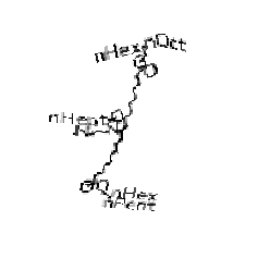 CCCCCCCCC(CCCCCC)COC(=O)CCCCCCCCC(CCCCCCCCC(=O)OCC(CCCCC)CCCCCC)N(CCCN(C)C)C(=O)CCCCCCC